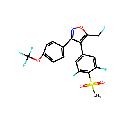 CS(=O)(=O)c1c(F)cc(-c2c(-c3ccc(OC(F)(F)F)cc3)noc2CF)cc1F